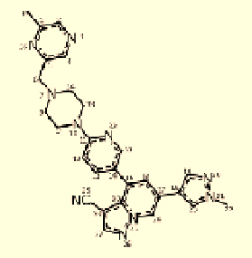 Cc1cncc(CN2CCN(c3ccc(-c4cc(-c5cnn(C)c5)cn5ncc(C#N)c45)cn3)CC2)n1